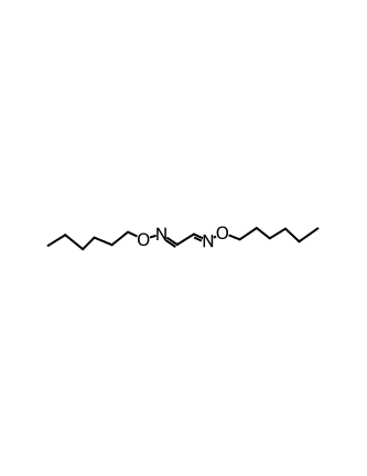 CCCCCCO/N=C/C=N/OCCCCCC